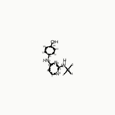 CC(C)(C)Nc1nccc(Nc2ccc(O)cc2)n1